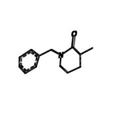 CC1CCCN(Cc2ccccc2)C1=O